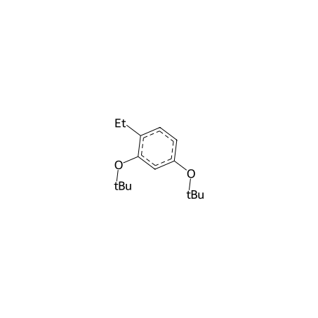 [CH2]Cc1ccc(OC(C)(C)C)cc1OC(C)(C)C